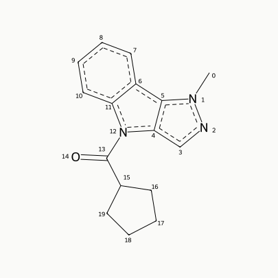 Cn1ncc2c1c1ccccc1n2C(=O)C1CCCC1